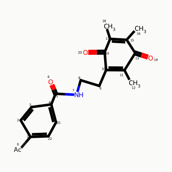 CC(=O)c1ccc(C(=O)NCCC2=C(C)C(=O)C(C)=C(C)C2=O)cc1